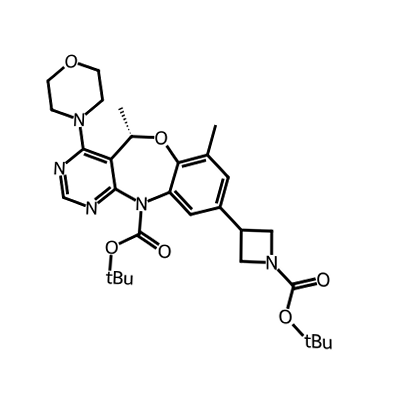 Cc1cc(C2CN(C(=O)OC(C)(C)C)C2)cc2c1O[C@@H](C)c1c(N3CCOCC3)ncnc1N2C(=O)OC(C)(C)C